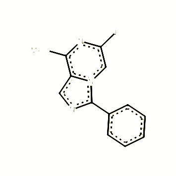 COc1nc(I)cn2c(-c3ccccc3)ncc12